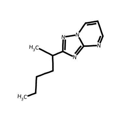 CCCCC(C)c1nc2ncccn2n1